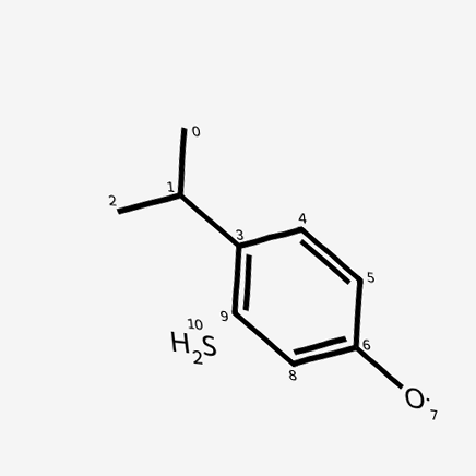 CC(C)c1ccc([O])cc1.S